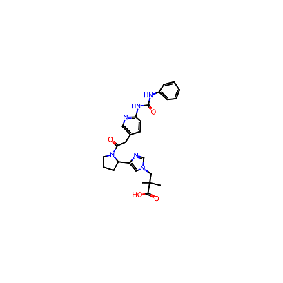 CC(C)(Cn1cnc(C2CCCN2C(=O)Cc2ccc(NC(=O)Nc3ccccc3)nc2)c1)C(=O)O